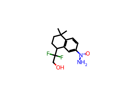 CC1(C)CC[C](C(F)(F)CO)c2cc([N+](N)=O)ccc21